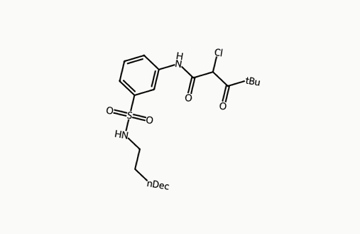 CCCCCCCCCCCCNS(=O)(=O)c1cccc(NC(=O)C(Cl)C(=O)C(C)(C)C)c1